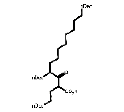 CCCCCCCCCCCCCCCCCCC(CCCCCCCCCC)C(=O)C(CCCCCCCCCCCC)C(=O)O